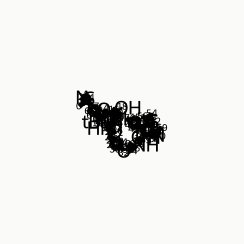 Cc1ncsc1-c1ccc([C@H](C)NC(=O)[C@@H]2C[C@@H](O)CN2C(=O)[C@@H](NC(=O)Cc2ccc(O[C@H]3C[C@H](NC(=O)C[C@@H]4N=C(c5ccc(Cl)cc5)c5c(sc(C)c5C)-n5c(C)nnc54)C3)cc2)C(C)(C)C)cc1